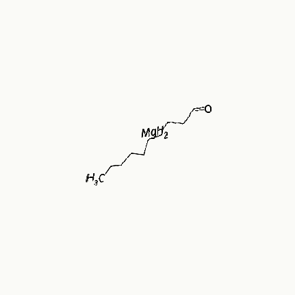 CCCCCCCCCC=O.[MgH2]